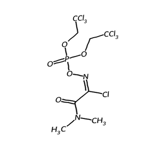 CN(C)C(=O)/C(Cl)=N\OP(=O)(OCC(Cl)(Cl)Cl)OCC(Cl)(Cl)Cl